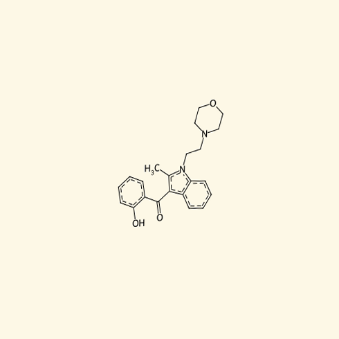 Cc1c(C(=O)c2ccccc2O)c2ccccc2n1CCN1CCOCC1